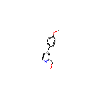 COc1ccc(-c2ccnc(C=O)c2)cc1